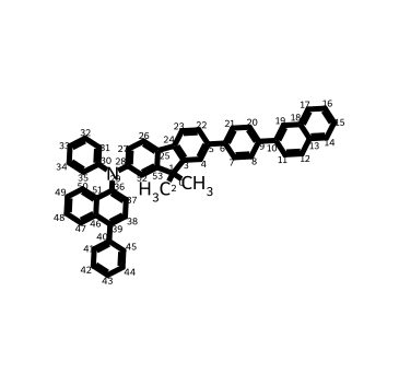 CC1(C)c2cc(-c3ccc(-c4ccc5ccccc5c4)cc3)ccc2-c2ccc(N(c3ccccc3)c3ccc(-c4ccccc4)c4ccccc34)cc21